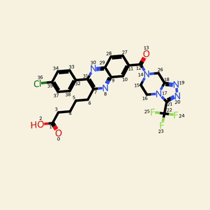 O=C(O)CCCCc1nc2cc(C(=O)N3CCn4c(nnc4C(F)(F)F)C3)ccc2nc1-c1ccc(Cl)cc1